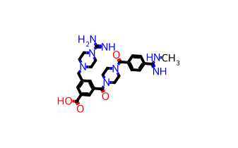 CNC(=N)c1ccc(C(=O)N2CCN(C(=O)c3cc(CN4CCN(C(=N)N)CC4)cc(C(=O)O)c3)CC2)cc1